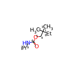 CCC(C)(C)COC(=O)NC(C)C